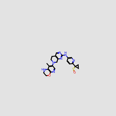 Cc1c(N2CCc3cnc(Nc4ccc(C5([S+]=O)CC5)nc4)nc3C2)cnc2c1NCCO2